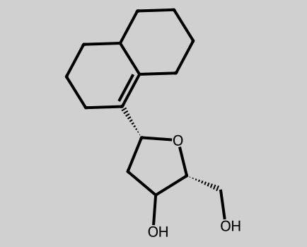 OC[C@H]1O[C@@H](C2=C3CCCCC3CCC2)CC1O